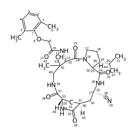 Cc1cccc(C)c1OCC(=O)N[C@@H]1C(=O)N2CC[C@H](C(C)C)[C@H]2C(=O)N[C@H](C#N)C[C@@H]2C[C@H](NC2=O)C(=O)NCC1(C)C